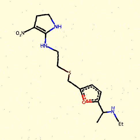 CCNC(C)c1ccc(CSCCNC2=C([N+](=O)[O-])CCN2)o1